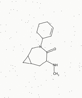 CNC1CC2CC2CN(C2C=CCCC2)C1=O